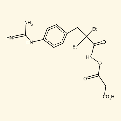 CCC(CC)(Cc1ccc(NC(=N)N)cc1)C(=O)NOC(=O)CC(=O)O